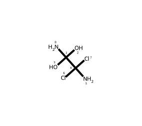 NC(O)(O)C(N)(Cl)Cl